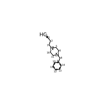 C#CCCN1CCN(Cc2ccccc2)CC1